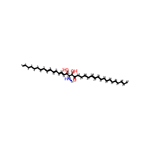 CCCCCCCCCCCCCC=CC(O)C(NC)C(O)C(=O)CCCCCCCCCCCCCCCCC